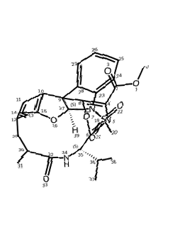 COC(=O)c1nc2oc1C13c4cc(ccc4O[C@@H]1N(S(C)(=O)=O)c1ccccc13)CC(C)C(=O)N[C@H]2C(C)C